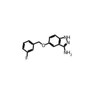 Nc1n[nH]c2ccc(OCc3cccc(F)c3)cc12